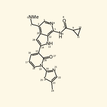 CNCc1cnc(NC(=O)C2CC2)c2[nH]c(-c3cccn(-c4ncc(C)s4)c3=O)cc12